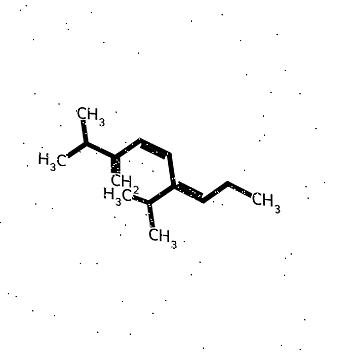 C=C(/C=C\C(=C/CC)C(C)C)C(C)C